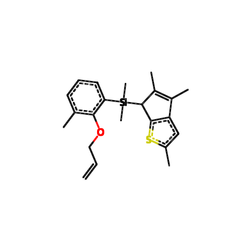 C=CCOc1c(C)cccc1[Si](C)(C)C1C(C)=C(C)c2cc(C)sc21